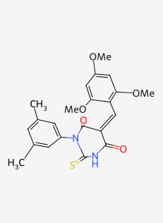 COc1cc(OC)c(/C=C2/C(=O)NC(=S)N(c3cc(C)cc(C)c3)C2=O)c(OC)c1